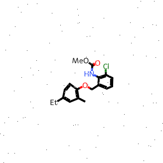 CCc1ccc(OCc2cccc(Cl)c2NC(=O)OC)c(C)c1